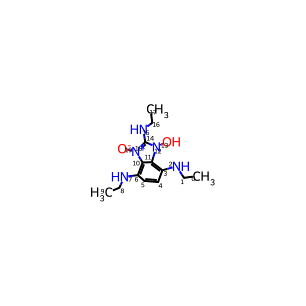 CCNc1ccc(NCC)c2c1n(O)c(NCC)[n+]2[O-]